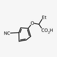 CCC(Oc1cccc(C#N)c1)C(=O)O